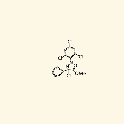 COC(=O)C(Cl)(N=Nc1c(Cl)cc(Cl)cc1Cl)c1ccccc1